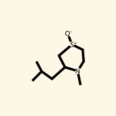 CC(C)CC1C[S+]([O-])CCN1C